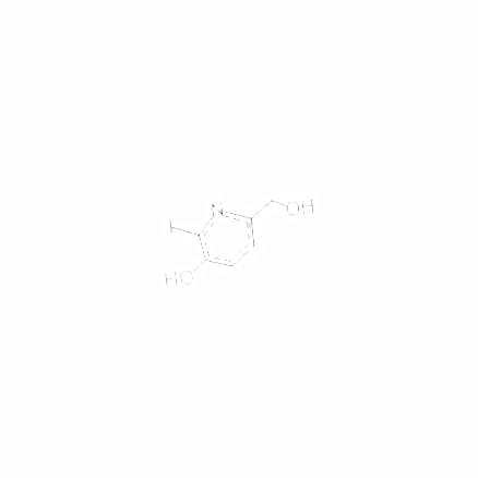 OCc1ccc(O)c(I)n1